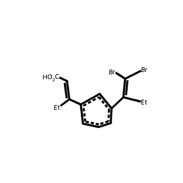 CCC(=C(Br)Br)c1cccc(/C(=C/C(=O)O)CC)c1